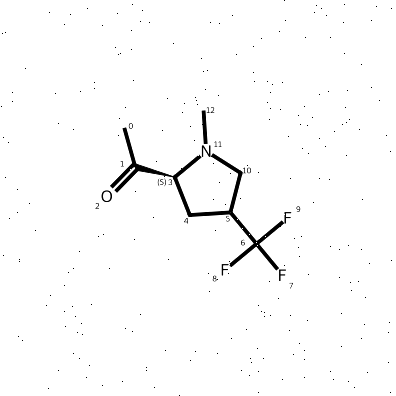 CC(=O)[C@@H]1CC(C(F)(F)F)CN1C